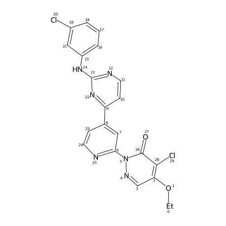 CCOc1cnn(-c2cc(-c3ccnc(Nc4cccc(Cl)c4)n3)ccn2)c(=O)c1Cl